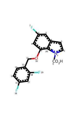 O=C(O)n1ccc2cc(F)cc(OCc3ccc(F)cc3F)c21